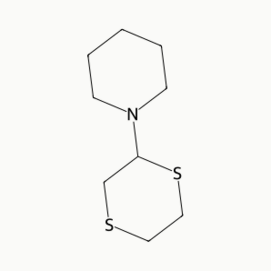 C1CCN(C2CSCCS2)CC1